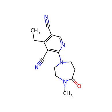 CCc1c(C#N)cnc(N2CCC(=O)N(C)CC2)c1C#N